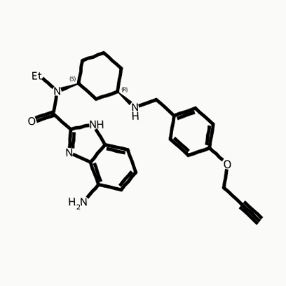 C#CCOc1ccc(CN[C@@H]2CCC[C@H](N(CC)C(=O)c3nc4c(N)cccc4[nH]3)C2)cc1